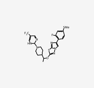 CSc1ccc(-c2cn3nc(OC(C)C4CCN(C5N=CC(C(F)(F)F)=CN5)CC4)sc3n2)c(F)c1